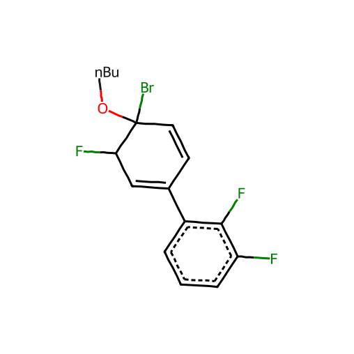 CCCCOC1(Br)C=CC(c2cccc(F)c2F)=CC1F